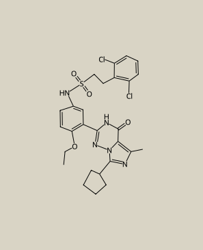 CCOc1ccc(NS(=O)(=O)CCc2c(Cl)cccc2Cl)cc1-c1nn2c(C3CCCC3)nc(C)c2c(=O)[nH]1